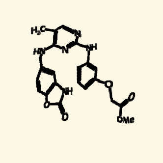 COC(=O)COc1cccc(Nc2ncc(C)c(Nc3ccc4oc(=O)[nH]c4c3)n2)c1